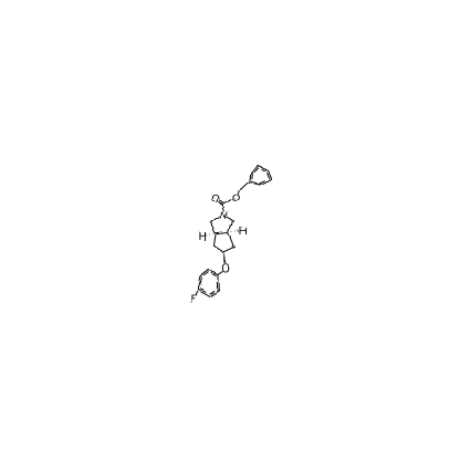 O=C(OCc1ccccc1)N1C[C@H]2C[C@@H](Oc3ccc(F)cc3)C[C@H]2C1